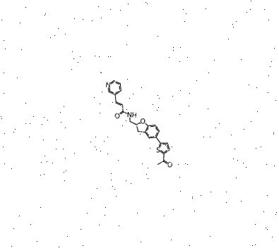 CC(=O)c1ccc(-c2ccc3c(c2)CC(CNC(=O)C=Cc2cccnc2)O3)s1